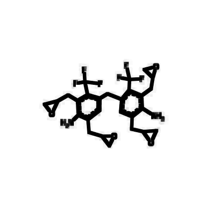 Nc1c(CC2CO2)cc(Cc2cc(CC3CO3)c(N)c(CC3CO3)c2C(F)(F)F)c(C(F)(F)F)c1CC1CO1